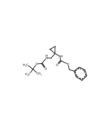 CC(C)(C)OC(=O)NCC1(NC(=O)OCc2ccccc2)CC1